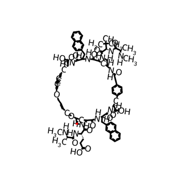 CN[C@@H](C)C(=O)N[C@@H](CCC(=O)O)C(=O)N1C[C@@H]2C[C@H]1C(=O)N[C@@H](Cc1ccc3ccccc3c1)C(=O)N[C@H](C(=O)O)Cc1ccc(cc1)C(=O)N[C@H]1C[C@@H](C(=O)N[C@@H](Cc3ccc4ccccc4c3)C(=O)N[C@H](C(=O)O)Cc3ccc(cc3)OC/C=C/CO2)N(C(=O)[C@@H](NC(=O)[C@H](C)NC)C(C)(C)C)C1